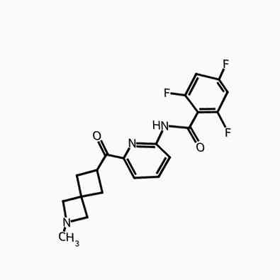 CN1CC2(CC(C(=O)c3cccc(NC(=O)c4c(F)cc(F)cc4F)n3)C2)C1